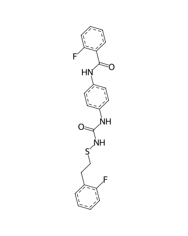 O=C(NSCCc1ccccc1F)Nc1ccc(NC(=O)c2ccccc2F)cc1